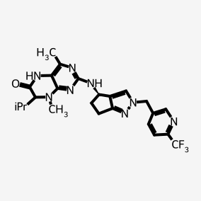 Cc1nc(N[C@@H]2CCc3nn(Cc4ccc(C(F)(F)F)nc4)cc32)nc2c1NC(=O)C(C(C)C)N2C